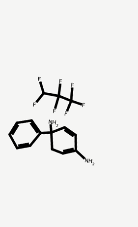 FC(F)C(F)(F)C(F)(F)F.NC1=CCC(N)(c2ccccc2)C=C1